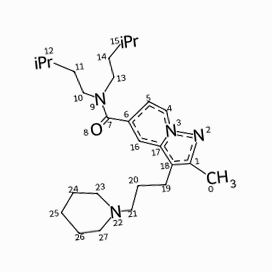 Cc1nn2ccc(C(=O)N(CCC(C)C)CCC(C)C)cc2c1CCCN1CCCCC1